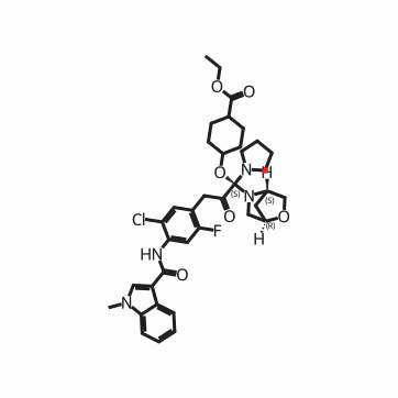 CCOC(=O)C1CCC(O[C@@](C(=O)Cc2cc(Cl)c(NC(=O)c3cn(C)c4ccccc34)cc2F)(N2CCCC2)N2C[C@H]3C[C@H]2CO3)CC1